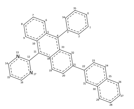 c1ccc(-c2c3ccccc3c(-c3ncccn3)c3ccc(-c4ccc5ccccc5c4)cc23)cc1